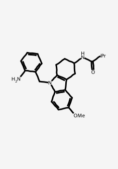 COc1ccc2c(c1)c1c(n2Cc2ccccc2N)CCC(NC(=O)C(C)C)C1